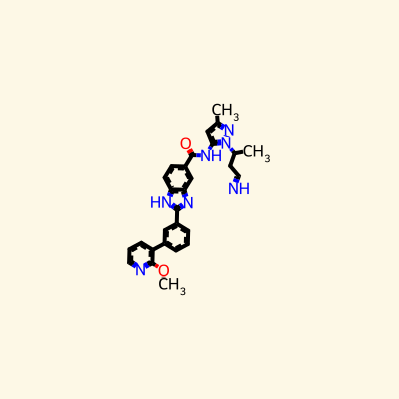 COc1ncccc1-c1cccc(-c2nc3cc(C(=O)Nc4cc(C)nn4C(C)CC=N)ccc3[nH]2)c1